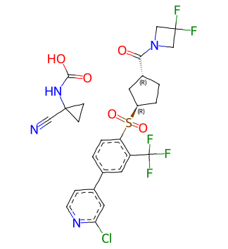 N#CC1(NC(=O)O)CC1.O=C([C@@H]1CC[C@@H](S(=O)(=O)c2ccc(-c3ccnc(Cl)c3)cc2C(F)(F)F)C1)N1CC(F)(F)C1